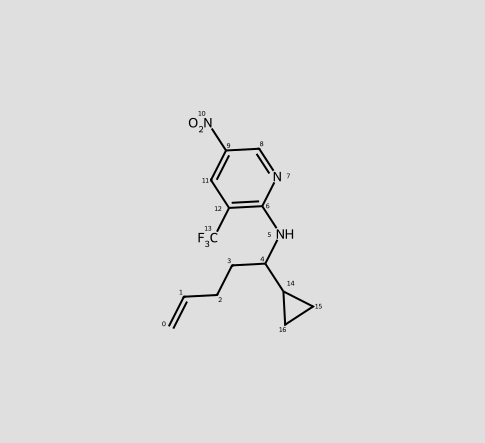 C=CCCC(Nc1ncc([N+](=O)[O-])cc1C(F)(F)F)C1CC1